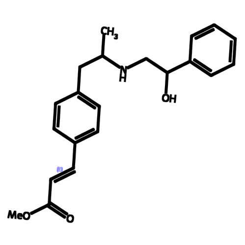 COC(=O)/C=C/c1ccc(CC(C)NCC(O)c2ccccc2)cc1